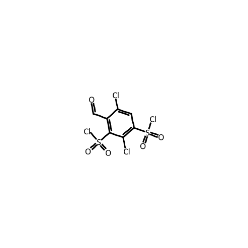 O=Cc1c(Cl)cc(S(=O)(=O)Cl)c(Cl)c1S(=O)(=O)Cl